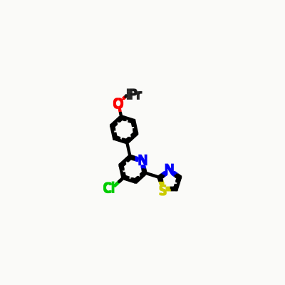 CC(C)Oc1ccc(-c2cc(Cl)cc(-c3nccs3)n2)cc1